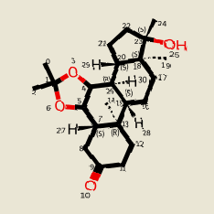 CC1(C)OC2C(O1)[C@H]1CC(=O)CC[C@]1(C)[C@H]1CC[C@@]3(C)[C@@H](CC[C@]3(C)O)[C@H]21